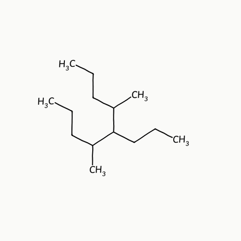 CCCC(C)C(CCC)C(C)CCC